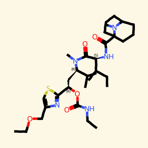 CCNC(=O)O[C@H](C[C@H](C(C)C)N(C)C(=O)[C@@H](NC(=O)C12CCCC(CCC1)N2C)C(C)CC)c1nc(COCC)cs1